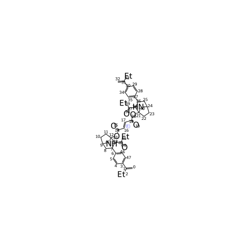 C=C(CC)c1ccc(C2CC3CCC(OC(=O)/C=C/C(=O)OC45CCC(CC(c6ccc(C(=C)CC)cc6)C4C(=O)CC)N5)(N3)C2C(=O)CC)cc1